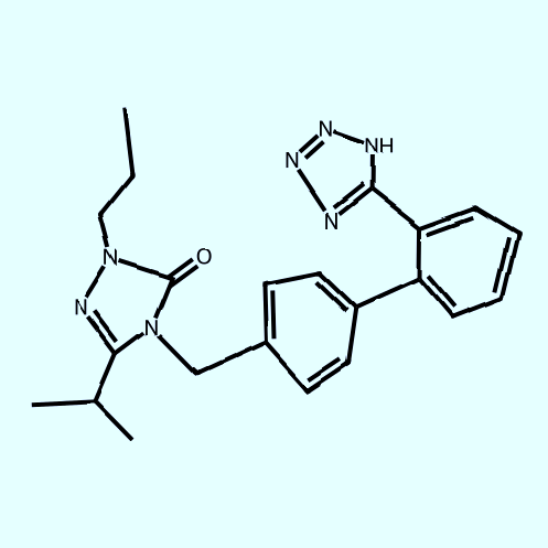 CCCn1nc(C(C)C)n(Cc2ccc(-c3ccccc3-c3nnn[nH]3)cc2)c1=O